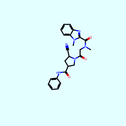 CN(CC(=O)N1CC(C(=O)Nc2ccccc2)CC1C#N)C(=O)c1nc2ccccc2n1C